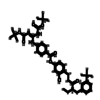 CCN(Cc1cccc(C(C)(C)C)c1)C(=O)CCc1ccc(OC(=O)c2ccc(N/C(=N\C(=O)OC(C)(C)C)NC(=O)OC(C)(C)C)cc2)cc1Cl